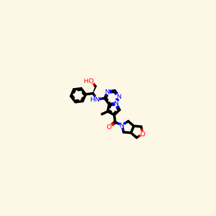 Cc1c(C(=O)N2CC3COCC3C2)cn2ncnc(N[C@H](CO)c3ccccc3)c12